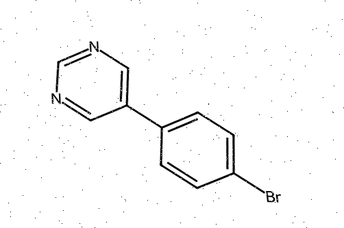 Brc1ccc(-c2cncnc2)cc1